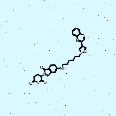 O=C1CCC(N2Cc3cc(NCCCCCCn4cc(-c5cnc6ccccc6n5)cn4)ccc3C2=O)C(=O)N1